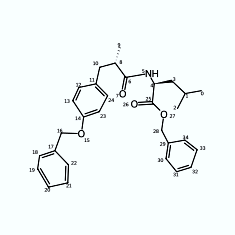 CC(C)C[C@H](NC(=O)[C@@H](C)Cc1ccc(OCc2ccccc2)cc1)C(=O)OCc1ccccc1